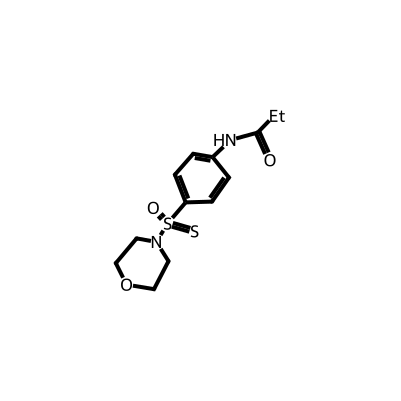 CCC(=O)Nc1ccc(S(=O)(=S)N2CCOCC2)cc1